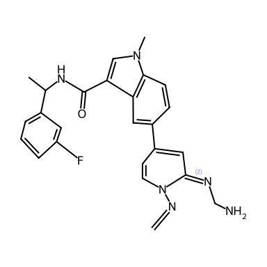 C=Nn1ccc(-c2ccc3c(c2)c(C(=O)NC(C)c2cccc(F)c2)cn3C)c/c1=N/CN